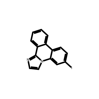 Ic1ccc2c3ccccc3c3nccn3c2c1